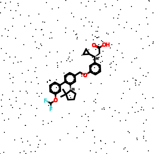 CC1(C)CCC[C@H]1c1cc(COc2cccc([C@@H](CC(=O)O)C3CC3)c2)ccc1-c1cccc(OC(F)F)c1